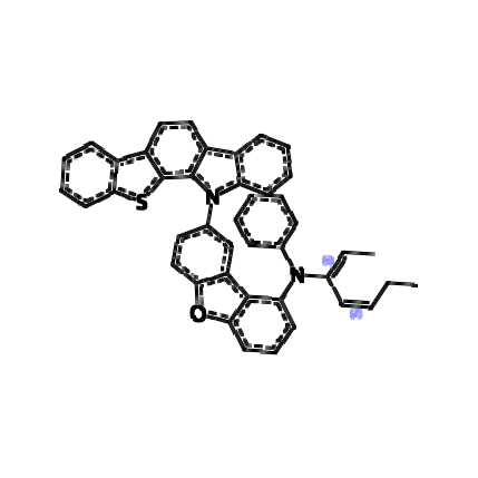 C/C=C(\C=C/CC)N(c1ccccc1)c1cccc2oc3ccc(-n4c5ccccc5c5ccc6c7ccccc7sc6c54)cc3c12